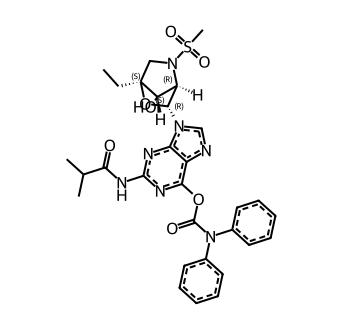 CC[C@@]12CN(S(C)(=O)=O)[C@@H]([C@H](n3cnc4c(OC(=O)N(c5ccccc5)c5ccccc5)nc(NC(=O)C(C)C)nc43)O1)[C@@H]2O